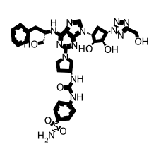 NS(=O)(=O)c1ccc(NC(=O)N[C@@H]2CCN(c3nc(N[C@H](CO)Cc4ccccc4)c4ncn([C@@H]5C[C@H](n6nnc(CO)n6)[C@@H](O)[C@H]5O)c4n3)C2)cc1